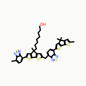 Cc1cc2c(s1)-c1sc(-c3ccc(Cc4cc5c(s4)-c4sc(-c6ccc(C)c7nsnc67)cc4C5(C)CCCCCCCCO)c4nsnc34)cc1C2(C)C